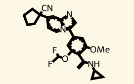 C=C(NC1CC1)c1c(OC)cc(-c2cnc3cc(C4(C#N)CCCC4)ccn23)cc1OC(F)F